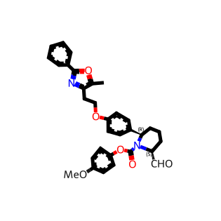 COc1ccc(OC(=O)N2[C@H](C=O)CCC[C@@H]2c2ccc(OCCc3nc(-c4ccccc4)oc3C)cc2)cc1